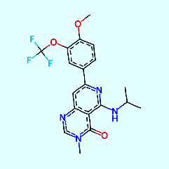 COc1ccc(-c2cc3ncn(C)c(=O)c3c(NC(C)C)n2)cc1OC(F)(F)F